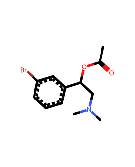 CC(=O)OC(CN(C)C)c1cccc(Br)c1